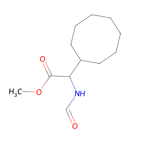 COC(=O)C(NC=O)C1CCCCCCC1